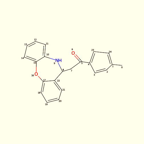 Cc1ccc(C(=O)CC2Nc3ccccc3Oc3ccccc32)cc1